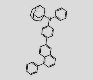 c1ccc(-c2cccc3cc(-c4ccc(N(c5ccccc5)C56CC7CCC(C5)C(C7)C6)cc4)ccc23)cc1